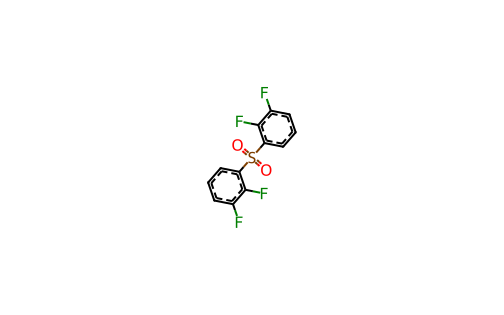 O=S(=O)(c1cccc(F)c1F)c1cccc(F)c1F